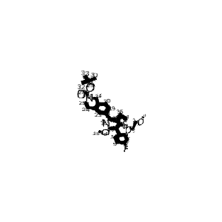 COCCOc1cc(F)ccc1-c1c(OC)nc(-c2ccc3c(c2)CCN(C(=O)OC(C)(C)C)C3)c2ccsc12